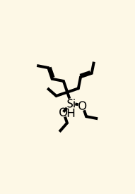 C/C=C/CC(CC)(C/C=C/C)[SiH](OCC)OCC